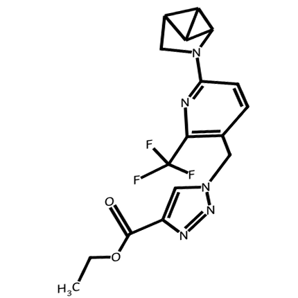 CCOC(=O)c1cn(Cc2ccc(N3CC4C5C4C53)nc2C(F)(F)F)nn1